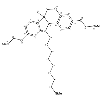 CNCCCCCCCCCC1c2ccc(OCOC)cc2OCC1(C)c1ccc(OCOC)cc1